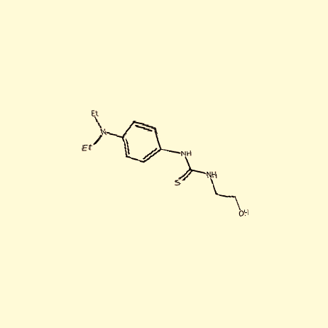 CCN(CC)c1ccc(NC(=S)NCCO)cc1